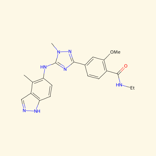 CCNC(=O)c1ccc(-c2nc(Nc3ccc4[nH]ncc4c3C)n(C)n2)cc1OC